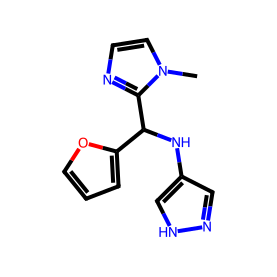 Cn1ccnc1C(Nc1cn[nH]c1)c1ccco1